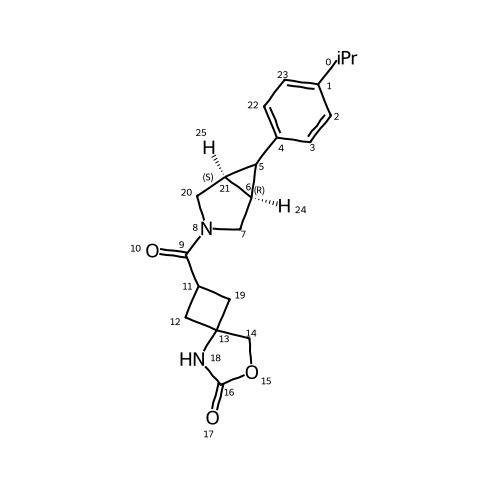 CC(C)c1ccc(C2[C@H]3CN(C(=O)C4CC5(COC(=O)N5)C4)C[C@@H]23)cc1